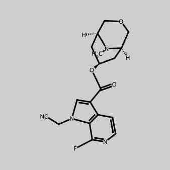 CN1[C@@H]2COC[C@H]1C[C@@H](OC(=O)c1cn(CC#N)c3c(F)nccc13)C2